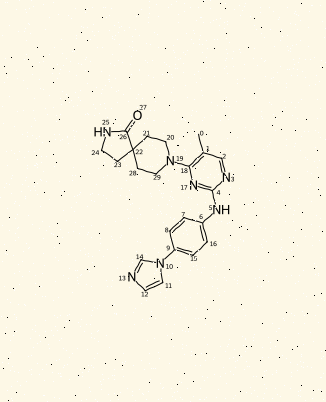 Cc1cnc(Nc2ccc(-n3ccnc3)cc2)nc1N1CCC2(CCNC2=O)CC1